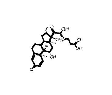 C[C@@H]1CC2C3CCC4=CC(=O)C=C[C@]4(C)[C@@]3(F)[C@@H](O)C[C@]2(C)[C@@]1(O)C(=O)C(O)SCCC(=O)O